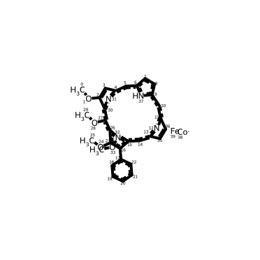 COC1=Cc2cc3ccc(cc4nc(cc5c(-c6ccccc6)c(OC)c(c(OC)c1n2)n5OC)C=C4)[nH]3.[Co].[Fe]